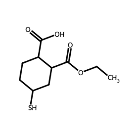 CCOC(=O)C1CC(S)CCC1C(=O)O